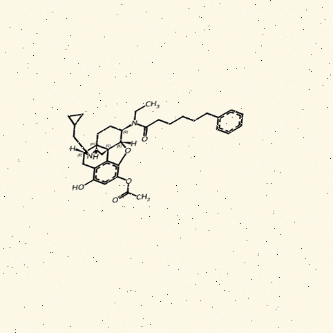 CCN(C(=O)CCCCCc1ccccc1)[C@@H]1CC[C@H]2[C@H]3Cc4c(O)cc(OC(C)=O)c5c4[C@@]2(CCN3CC2CC2)[C@H]1O5